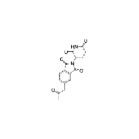 CC(=O)Cc1ccc2c(c1)C(=O)N(C1CCC(=O)NC1=O)C2=O